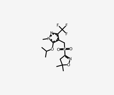 CC(C)Oc1c(CS(=O)(=O)C2=NOC(C)(C)C2)c(C(F)(F)F)nn1C